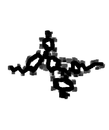 CCCCc1ccc(N(C2=CC=C(N(c3ccc(Br)cc3)c3ccc(CCCC)cc3)CC2)c2ccc(Br)cc2)cc1